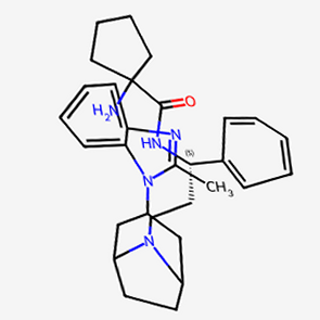 Cc1nc2ccccc2n1C1CC2CCC(C1)N2CC[C@H](NC(=O)C1(N)CCCC1)c1ccccc1